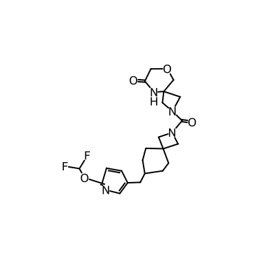 O=C1COCC2(CN(C(=O)N3CC4(CCC(Cc5ccc(OC(F)F)nc5)CC4)C3)C2)N1